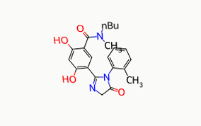 CCCCN(C)C(=O)c1cc(C2=NCC(=O)N2c2ccccc2C)c(O)cc1O